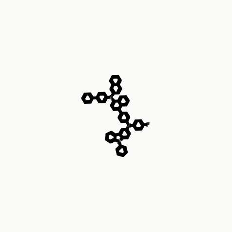 Fc1ccc(N(c2ccc(-c3ccc(N(c4ccc(-c5ccccc5)cc4)c4ccc5ccccc5c4)c4ccccc34)cc2)c2ccc3c(c2)c2ccccc2n3-c2ccccc2)cc1